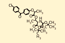 CC(Oc1ccc(C(=O)c2ccc(Cl)cc2)cc1)C(=O)O[C@H](C)[C@H](NC(=O)OC(C)(C)C)C(=O)OC(C)(C)C